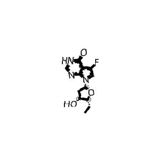 CC[C@H]1O[C@@H](n2cc(F)c3c(=O)[nH]cnc32)C[C@@H]1O